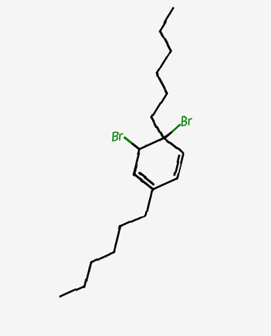 CCCCCCC1=CC(Br)C(Br)(CCCCCC)C=C1